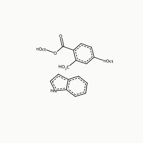 CCCCCCCCOC(=O)c1ccc(CCCCCCCC)cc1C(=O)O.c1ccc2[nH]ccc2c1